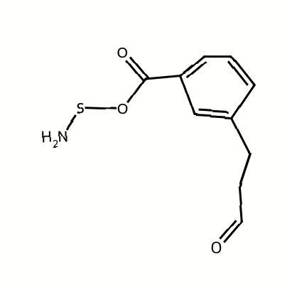 NSOC(=O)c1cccc(CCC=O)c1